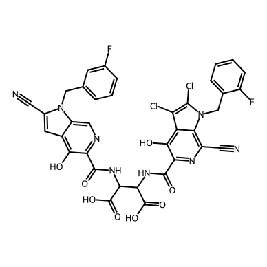 N#Cc1nc(C(=O)NC(C(=O)O)C(NC(=O)c2ncc3c(cc(C#N)n3Cc3cccc(F)c3)c2O)C(=O)O)c(O)c2c(Cl)c(Cl)n(Cc3ccccc3F)c12